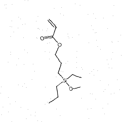 C=CC(=O)OCCC[Si](CC)(CCC)OC